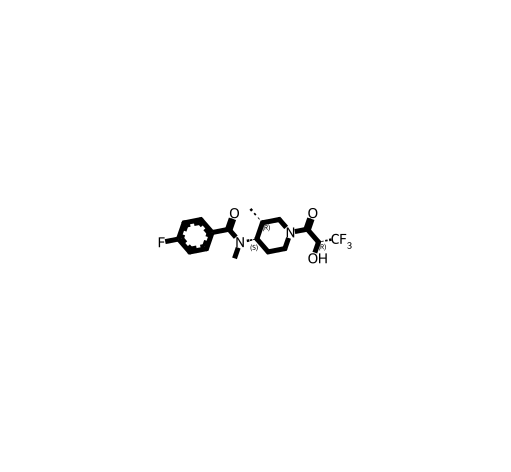 C[C@@H]1CN(C(=O)[C@@H](O)C(F)(F)F)CC[C@@H]1N(C)C(=O)c1ccc(F)cc1